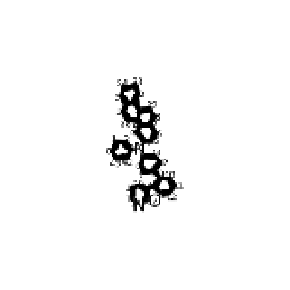 c1ccc(N(c2ccc(-c3cccc4oc5ncccc5c34)cc2)c2ccc3ccc4c5ccccc5ccc4c3c2)cc1